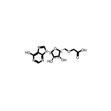 O=C(O)COC[C@H]1O[C@@H](n2cnc3c(O)ncnc32)[C@H](O)[C@@H]1O